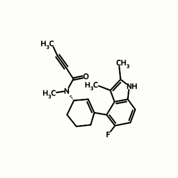 CC#CC(=O)N(C)[C@@H]1C=C(c2c(F)ccc3[nH]c(C)c(C)c23)CCC1